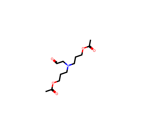 CC(=O)OCCCN(CC=O)CCCOC(C)=O